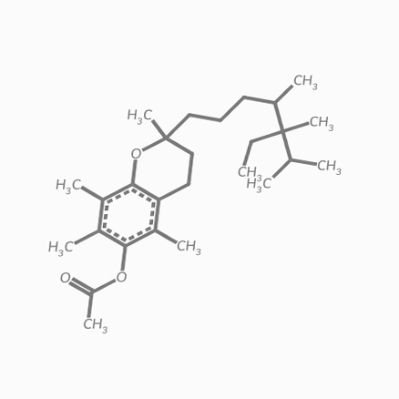 CCC(C)(C(C)C)C(C)CCCC1(C)CCc2c(C)c(OC(C)=O)c(C)c(C)c2O1